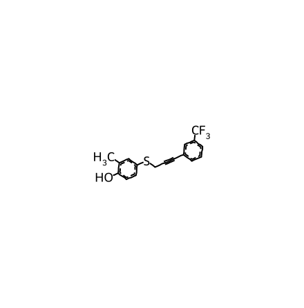 Cc1cc(SCC#Cc2cccc(C(F)(F)F)c2)ccc1O